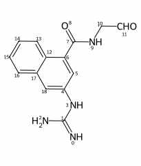 N=C(N)Nc1cc(C(=O)N[CH]C=O)c2ccccc2c1